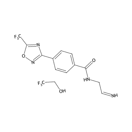 N=CCNC(=O)c1ccc(-c2noc(C(F)(F)F)n2)cc1.OCC(F)(F)F